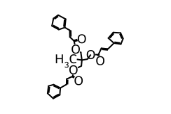 CC(COC(=O)/C=C/c1ccccc1)(COC(=O)/C=C/c1ccccc1)COC(=O)/C=C/c1ccccc1